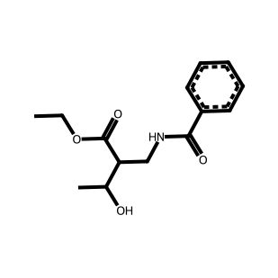 CCOC(=O)C(CNC(=O)c1ccccc1)C(C)O